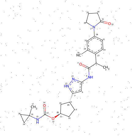 CC(C(=O)Nc1cc([C@@H]2CC[C@@H](OC(=O)NC3(C)CC3)C2)[nH]n1)c1ccc(N2CCCC2=O)cc1C#N